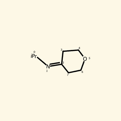 CC(C)N=C1CCOCC1